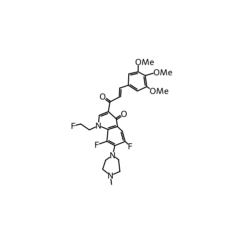 COc1cc(C=CC(=O)c2cn(CCF)c3c(F)c(N4CCN(C)CC4)c(F)cc3c2=O)cc(OC)c1OC